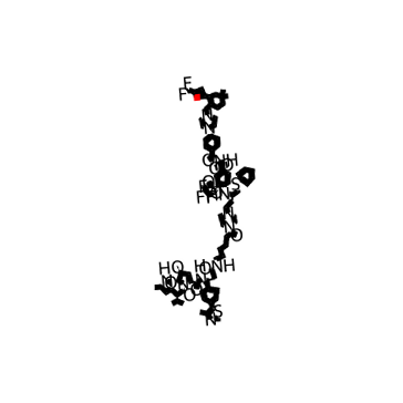 Cc1cc([C@H](C(=O)N2C[C@H](O)C[C@H]2C(=O)N[C@@H](CC(=O)NCCCCCC(=O)N2CCN(CC[C@H](CSc3ccccc3)Nc3ccc(S(=O)(=O)NC(=O)c4ccc(N5CCN(CC6=C(C78CC(C(F)F)(C7)C8)CC(C)(C)CC6)CC5)cc4)cc3S(=O)(=O)C(F)(F)F)CC2)c2ccc(-c3scnc3C)cc2)C(C)C)on1